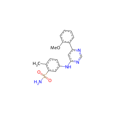 COc1ccccc1-c1cc(Nc2ccc(C)c(S(N)(=O)=O)c2)ncn1